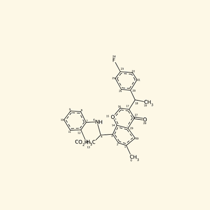 Cc1cc(C(C)Nc2ccccc2C(=O)O)c2occ(C(C)c3ccc(F)cc3)c(=O)c2c1